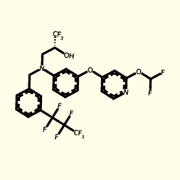 O[C@H](CN(Cc1cccc(C(F)(F)C(F)(F)C(F)(F)F)c1)c1cccc(Oc2ccnc(OC(F)F)c2)c1)C(F)(F)F